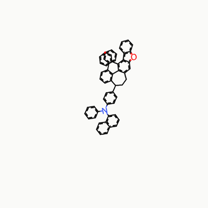 c1ccc(-c2cccc3c2-c2c(cc4oc5ccccc5c4c2-c2ccccc2)CCC3c2ccc(N(c3ccccc3)c3cccc4ccccc34)cc2)cc1